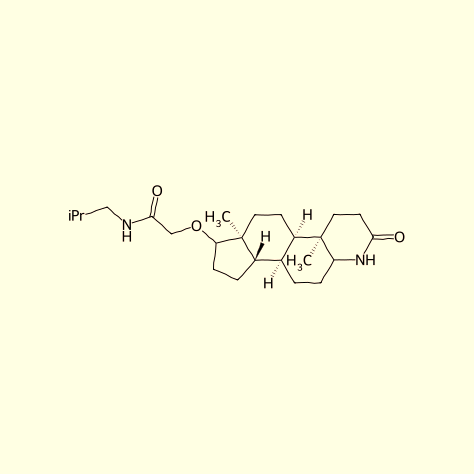 CC(C)CNC(=O)COC1CC[C@H]2[C@@H]3CCC4NC(=O)CC[C@]4(C)[C@@H]3CC[C@]12C